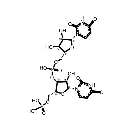 O=c1ccn([C@@H]2O[C@H](COP(=O)(O)O[C@H]3[C@@H](O)[C@H](n4ccc(=O)[nH]c4=O)O[C@@H]3COP(=O)(O)O)[C@@H](O)[C@H]2O)c(=O)[nH]1